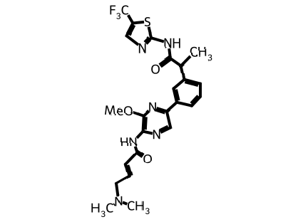 COc1nc(-c2cccc(C(C)C(=O)Nc3ncc(C(F)(F)F)s3)c2)cnc1NC(=O)/C=C/CN(C)C